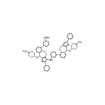 COc1cccc(-c2cccc3c2CCn2c(nc(-c4ccccc4)c2Nc2cccc(-c4cccc5c4CCn4cc(-c6ccccc6)nc4C5OC4CCN(C)CC4)c2)C3OC2CCN(C)CC2)c1